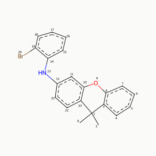 CC1(C)c2ccccc2Oc2cc(Nc3ccccc3Br)ccc21